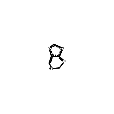 C1=c2scnc2=NCN1